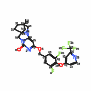 O=c1nc(OCc2cc(F)c(Oc3ccnc(C(F)(F)F)c3)c(F)c2)cc2n1C[C@]13CC[C@H](CN21)C3